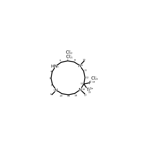 CN1CCCNCCCN(C)CC[C](F)([Ti+3])N(C)CCC1.[Cl-].[Cl-].[Cl-]